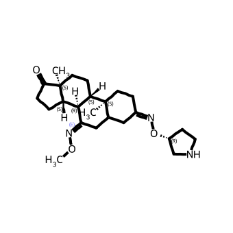 CO/N=C1\CC2CC(=NO[C@@H]3CCNC3)CC[C@]2(C)[C@H]2CC[C@]3(C)C(=O)CC[C@H]3[C@H]12